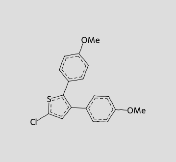 COc1ccc(-c2cc(Cl)sc2-c2ccc(OC)cc2)cc1